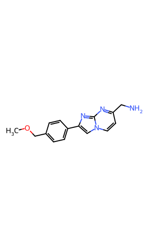 COCc1ccc(-c2cn3ccc(CN)nc3n2)cc1